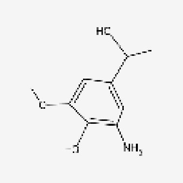 COc1cc(C(C)O)cc(N)c1OC